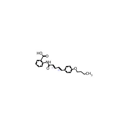 CCCCOc1ccc(/C=C/C=C/C(=O)Nc2ccccc2C(=O)O)cc1